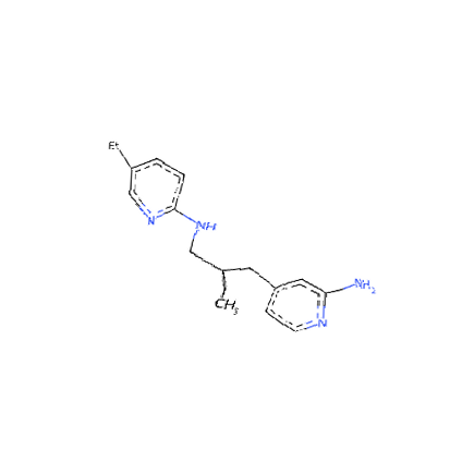 CCc1ccc(NCC(C)Cc2ccnc(N)c2)nc1